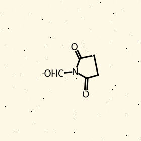 O=[C]N1C(=O)CCC1=O